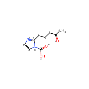 CC(=O)CCCc1nccn1C(=O)O